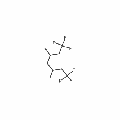 CC(CC(C)CC(F)(F)F)CC(F)(F)F